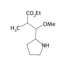 CCOC(=O)C(C)C(OC)C1CCCN1